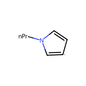 CCCn1c[c]cc1